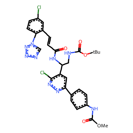 COC(=O)Nc1ccc(-c2cc(C(CNC(=O)OC(C)(C)C)NC(=O)C=Cc3cc(Cl)ccc3-n3cnnn3)c(Cl)nn2)cc1